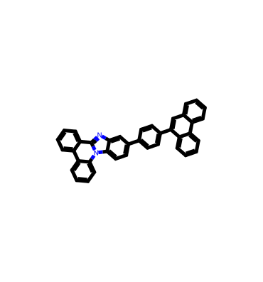 c1ccc2c(c1)cc(-c1ccc(-c3ccc4c(c3)nc3c5ccccc5c5ccccc5n43)cc1)c1ccccc12